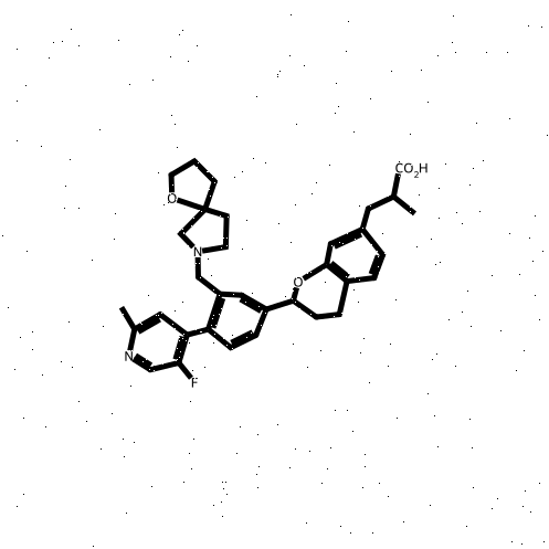 Cc1cc(-c2ccc(C3CCc4ccc(CC(C)C(=O)O)cc4O3)cc2CN2CCC3(CCCO3)C2)c(F)cn1